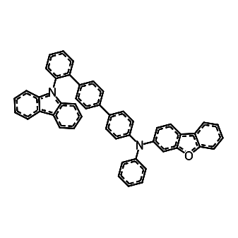 c1ccc(N(c2ccc(-c3ccc(-c4ccccc4-n4c5ccccc5c5ccccc54)cc3)cc2)c2ccc3c(c2)oc2ccccc23)cc1